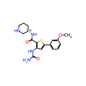 COc1cccc(-c2cc(NC(N)=O)c(C(=O)N[C@H]3CCCNC3)s2)c1